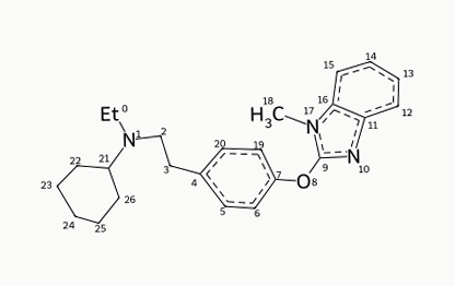 CCN(CCc1ccc(Oc2nc3ccccc3n2C)cc1)C1CCCCC1